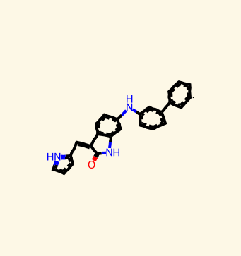 O=C1Nc2cc(Nc3cccc(-c4c[c]ccc4)c3)ccc2C1=Cc1ccc[nH]1